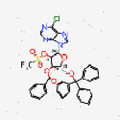 O=C(O[C@H]1[C@@H](OS(=O)(=O)C(F)(F)F)[C@H](n2cnc3c(Cl)ncnc32)O[C@@H]1COC(c1ccccc1)(c1ccccc1)c1ccccc1)c1ccccc1